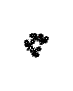 CCN1C(=CC=CC2=[N+](CC)c3ccc4ccccc4c3C2(C)Cc2ccc(CC3(C)C(C=CC=C4N(CC)c5ccc6ccccc6c5C4(C)Cc4ccccc4)=[N+](CC)c4ccc5ccccc5c43)cc2)C(C)(Cc2ccccc2)c2c1ccc1ccccc21